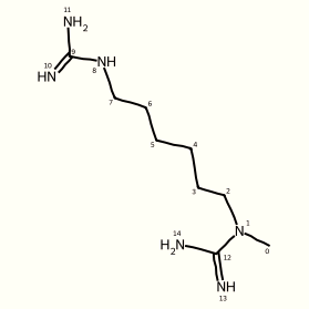 CN(CCCCCCNC(=N)N)C(=N)N